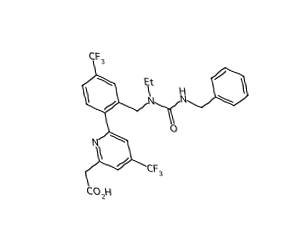 CCN(Cc1cc(C(F)(F)F)ccc1-c1cc(C(F)(F)F)cc(CC(=O)O)n1)C(=O)NCc1ccccc1